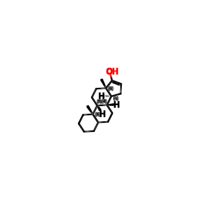 C[C@]12CCCCC1CC[C@@H]1[C@H]2CC[C@]2(C)C(O)=CC[C@@H]12